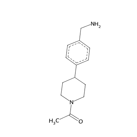 CC(=O)N1CCC(c2ccc(CN)cc2)CC1